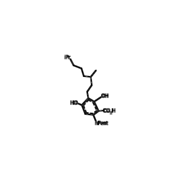 CCCCCc1cc(O)c(CCC(C)CCCC(C)C)c(O)c1C(=O)O